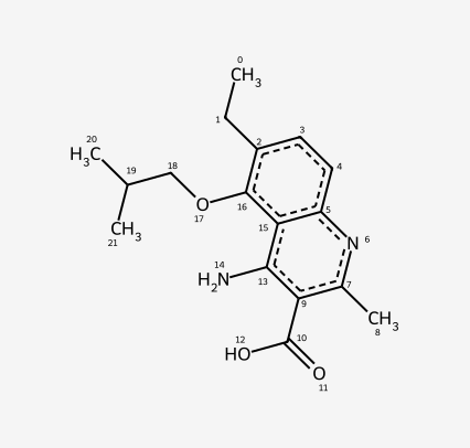 CCc1ccc2nc(C)c(C(=O)O)c(N)c2c1OCC(C)C